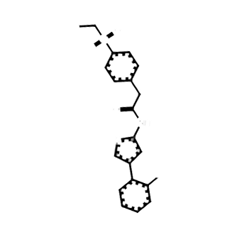 CCS(=O)(=O)c1ccc(CC(=O)Nc2cc(-c3ccccc3F)cs2)cc1